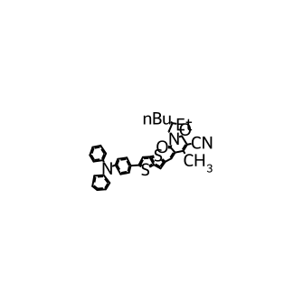 CCCCC(CC)CN1C(=O)C(C#N)=C(C)/C(=C/c2cc3sc(-c4ccc(N(c5ccccc5)c5ccccc5)cc4)cc3s2)C1=O